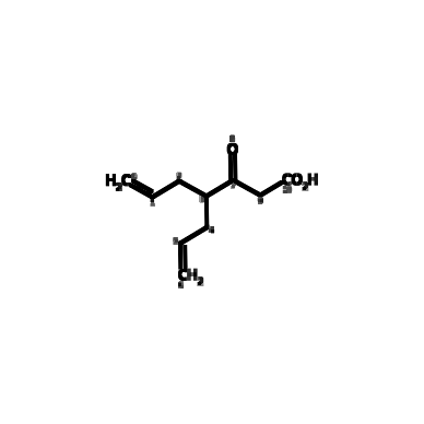 C=CCC(CC=C)C(=O)CC(=O)O